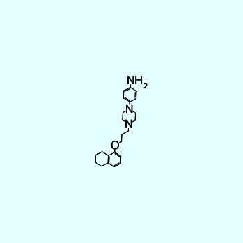 Nc1ccc(N2CCN(CCCOc3cccc4c3CCCC4)CC2)cc1